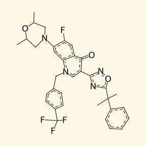 CC1CN(c2cc3c(cc2F)c(=O)c(-c2noc(C(C)(C)c4ccccc4)n2)cn3Cc2ccc(C(F)(F)F)cc2)CC(C)O1